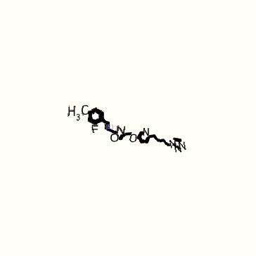 Cc1ccc(/C=C/c2nc(COc3ccc(CCCCn4ccnn4)nc3)co2)c(F)c1